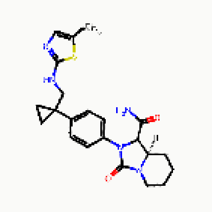 Cc1cnc(NCC2(c3ccc(N4C(=O)N5CCC[CH][C@@H]5C4C(N)=O)cc3)CC2)s1